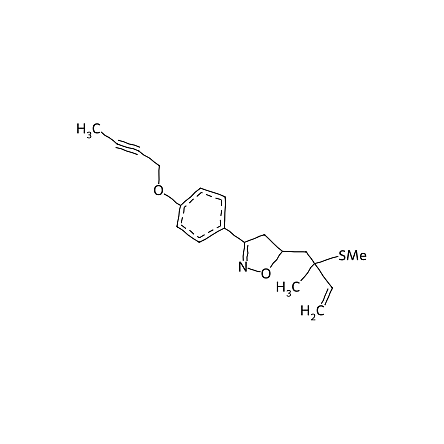 C=CC(C)(CC1CC(c2ccc(OCC#CC)cc2)=NO1)SC